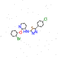 Clc1ccc(-c2nnc(Nc3cccnc3Oc3ccccc3Br)s2)cc1